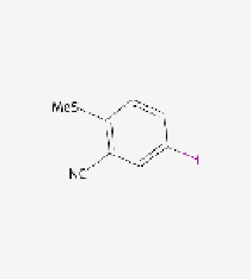 CSc1ccc(I)cc1C#N